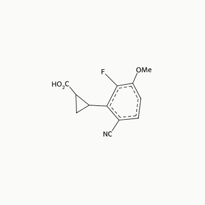 COc1ccc(C#N)c(C2CC2C(=O)O)c1F